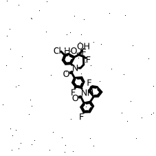 O=C(Nc1ccc(C(=O)N2CCC(F)(F)[C@](O)(CO)c3cc(Cl)ccc32)cc1F)c1cc(F)ccc1-c1cccc(F)c1